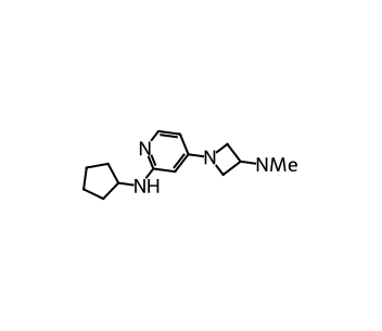 CNC1CN(c2ccnc(NC3CCCC3)c2)C1